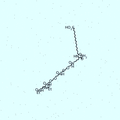 CCC(=O)NCCCC(NC(=O)CC)C(=O)NCCOCCOCCC(=O)NCCOCCOCCC(=O)NCCCCC(NC(=O)CCCCCCCCCCCCCCCCC(=O)O)C(N)=O